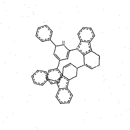 C1=CC(C2=CCCc3c2n(C2=CC(c4ccccc4)=CC(c4ccccc4)N2)c2ccccc32)Cc2c1n(-c1ccccc1)c1ccccc21